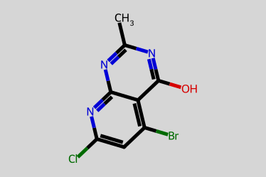 Cc1nc(O)c2c(Br)cc(Cl)nc2n1